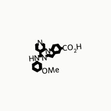 COc1cccc(Nc2nc3cc4cc(C(=O)O)ccc4n3c3cnccc23)c1